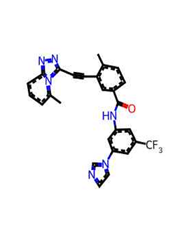 Cc1ccc(C(=O)Nc2cc(-n3ccnc3)cc(C(F)(F)F)c2)cc1C#Cc1nnc2cccc(C)n12